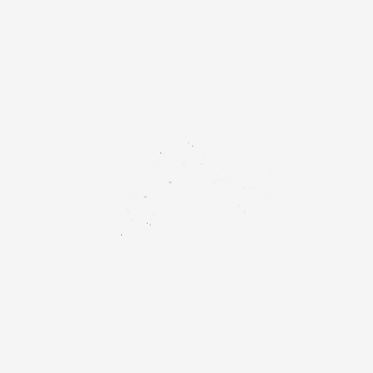 FC(F)(F)c1ccc(Cl)cc1/C=C/c1c[nH]c2ncc(-c3cnc4c(c3)CCCN4)cc12